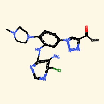 COC(=O)c1cn(-c2ccc(N3CCN(C)CC3)c(Nc3ncnc(Cl)c3N)c2)nn1